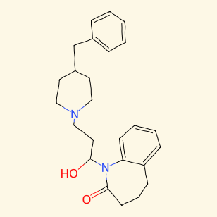 O=C1CCCc2ccccc2N1C(O)CCN1CCC(Cc2ccccc2)CC1